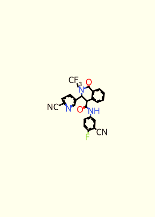 N#Cc1ccc(C2C(C(=O)Nc3ccc(F)c(C#N)c3)c3ccccc3C(=O)N2CC(F)(F)F)cn1